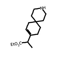 CCOC(=O)C(C)C1=CCC2(CCNCC2)CC1